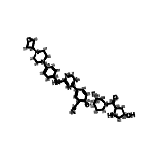 N#Cc1cc(-c2ncnc(Nc3ccc(N4CCN(C5COC5)CC4)cc3)n2)ccc1O[C@H]1CCN(C(=O)C2C[C@H](O)CN2)C[C@H]1F